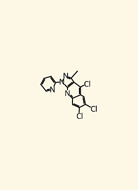 Cc1nn(-c2ccccn2)c2nc3cc(Cl)c(Cl)cc3c(Cl)c12